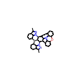 Cc1nn2c3c(cccc13)B1c3c-2c2c4cccc5c4n4c6c(cccc6c(c3-n3nc(C)c6cccc1c63)c24)O5